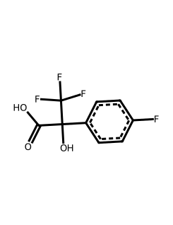 O=C(O)C(O)(c1ccc(F)cc1)C(F)(F)F